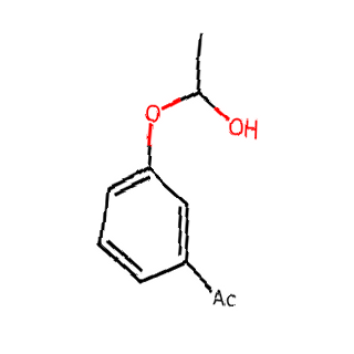 CC(=O)c1cccc(OC(C)O)c1